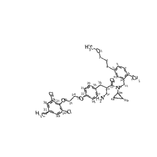 COCCCc1ccc(C)c(CN(C(=O)C(CN)Cc2ccc(OCCOc3c(Cl)cc(C)cc3Cl)cc2)C2CC2)c1